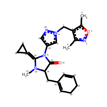 Cc1noc(C)c1Cn1cc(N2C(=O)C(CC3=CCCC=C3)N(C)C2=C2CC2)cn1